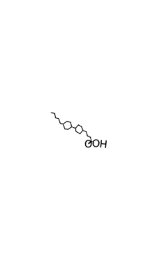 CCCCCC1CCC(C2CCC(CCCC(=O)O)CC2)CC1